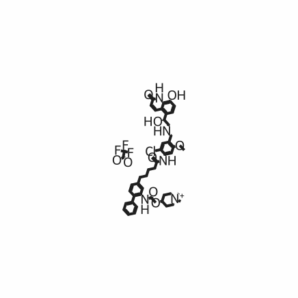 COc1cc(NC(=O)CCCCc2ccc(-c3ccccc3)c(NC(=O)OC3CC[N+](C)(C)CC3)c2)c(Cl)cc1CNC[C@H](O)c1ccc(O)c2[nH]c(=O)ccc12.O=C([O-])C(F)(F)F